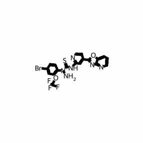 NN(C(=S)Nc1cc(-c2nc3ncccc3o2)ccn1)c1ccc(Br)cc1OC(F)(F)F